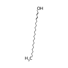 CCCCCCCCCCCCCCCCCC/C=C/C=C/CO